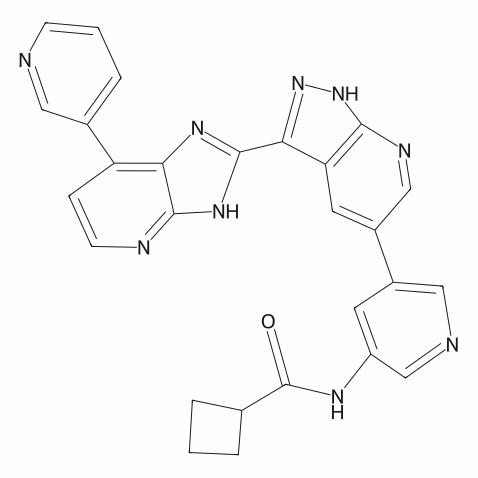 O=C(Nc1cncc(-c2cnc3[nH]nc(-c4nc5c(-c6cccnc6)ccnc5[nH]4)c3c2)c1)C1CCC1